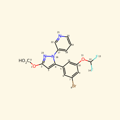 O=C(O)Oc1cc(-c2cc(Br)cc(OC(F)F)c2)n(-c2cccnc2)n1